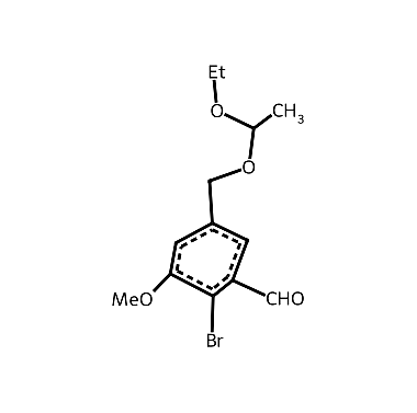 CCOC(C)OCc1cc(C=O)c(Br)c(OC)c1